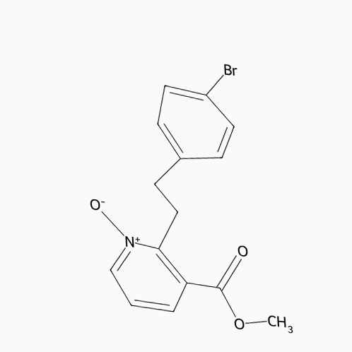 COC(=O)c1ccc[n+]([O-])c1CCc1ccc(Br)cc1